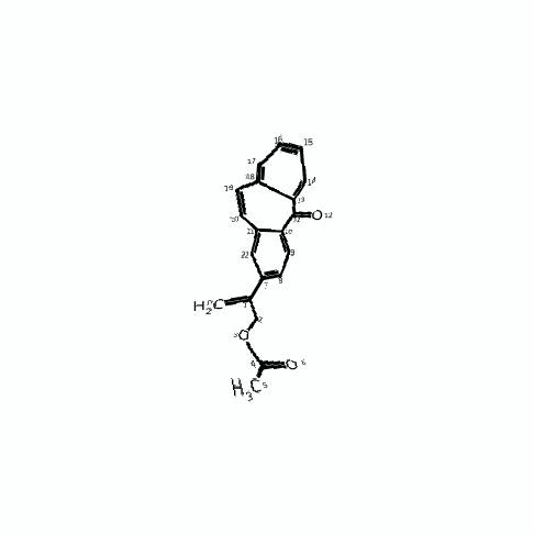 C=C(COC(C)=O)c1ccc2c(=O)c3ccccc3ccc2c1